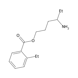 CCc1ccccc1C(=O)OCCCC(N)CC